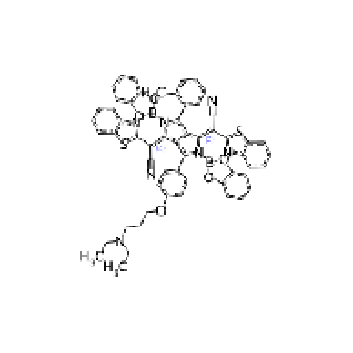 CCN(CC)CCCOc1ccc(-c2c3/c(=C(\C#N)c4nc5ccccc5s4)n(B4Oc5ccccc5O4)c(-c4ccccc4C)c3/c(=C(\C#N)c3nc4ccccc4s3)n2B2Oc3ccccc3O2)cc1